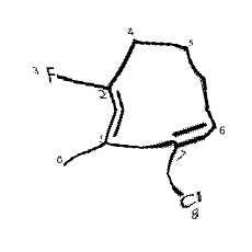 CC1=C(F)CCC=C1Cl